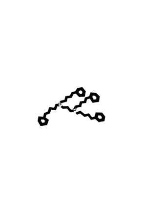 c1ccc(CCCCCP(CCCCCc2ccccc2)CCCP(CCCCCc2ccccc2)CCCCCc2ccccc2)cc1